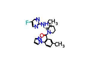 Cc1ccc(-n2cccn2)c(C(=O)N2CCC[C@@H](C)[C@H]2CNc2ncc(F)cn2)c1